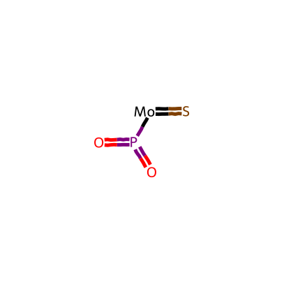 O=[P](=O)[Mo]=[S]